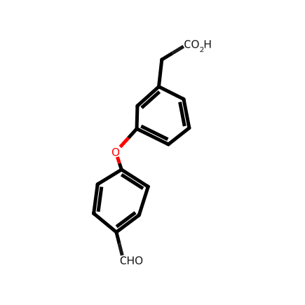 O=Cc1ccc(Oc2cccc(CC(=O)O)c2)cc1